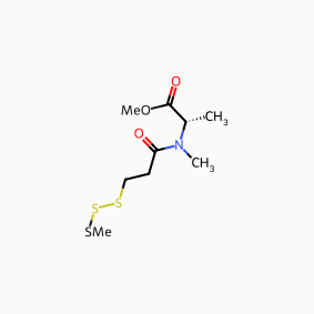 COC(=O)[C@H](C)N(C)C(=O)CCSSSC